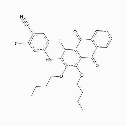 CCCCOc1c(Nc2ccc(C#N)c(Cl)c2)c(F)c2c(c1OCCCC)C(=O)c1ccccc1C2=O